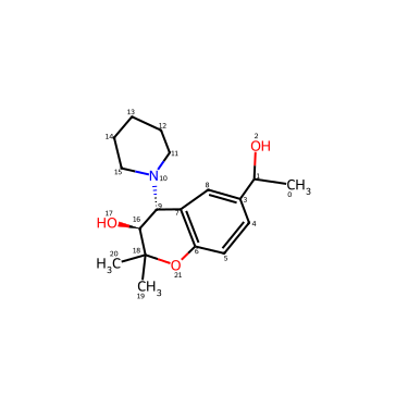 CC(O)c1ccc2c(c1)[C@@H](N1CCCCC1)[C@H](O)C(C)(C)O2